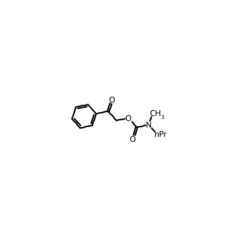 CCCN(C)C(=O)OCC(=O)c1ccccc1